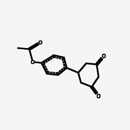 CC(=O)Oc1ccc(C2CC(=O)CC(=O)C2)cc1